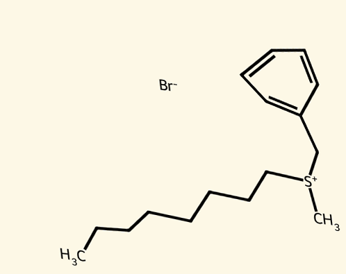 CCCCCCCC[S+](C)Cc1ccccc1.[Br-]